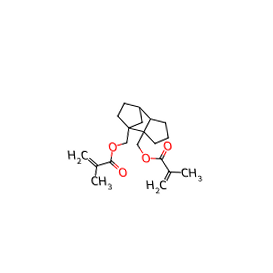 C=C(C)C(=O)OCC12CCC(C1)C1CCCC12COC(=O)C(=C)C